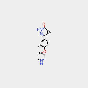 O=C1NN=C(c2ccc3c(c2)CCC2(CCNCC2)O3)C2CC12